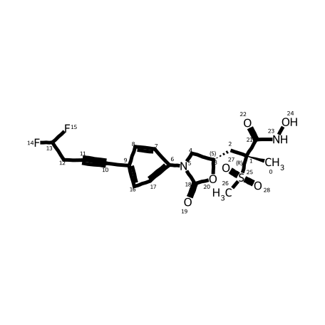 C[C@@](C[C@H]1CN(c2ccc(C#CCC(F)F)cc2)C(=O)O1)(C(=O)NO)S(C)(=O)=O